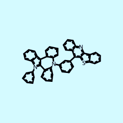 c1ccc(-n2c3c(c4ccccc42)-c2ccccc2N(c2cccc(-c4c5ccccc5nc5c4sc4ccccc45)c2)c2ccccc2-3)cc1